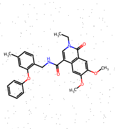 CCn1cc(C(=O)NCc2ccc(C)cc2Oc2ccccc2)c2cc(OC)c(OC)cc2c1=O